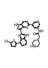 O=C(CC1CCNCC1)Nc1cncc(-c2ccc3[nH]nc(-c4nc5c(-c6ccc(Cl)s6)cccc5[nH]4)c3n2)c1